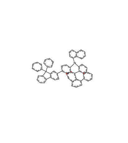 c1ccc(-c2cccc3cccc(-c4ccccc4N(c4ccc(-c5ccc6c(c5)C(c5ccccc5)(c5ccccc5)c5ccccc5-6)cc4)c4cccc5ccccc45)c23)cc1